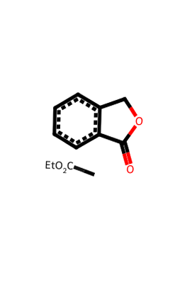 CCOC(C)=O.O=C1OCc2ccccc21